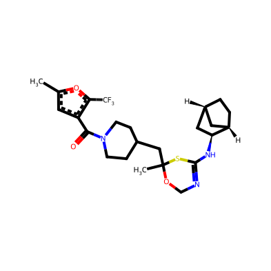 Cc1cc(C(=O)N2CCC(CC3(C)OCN=C(N[C@H]4C[C@@H]5CC[C@H]4C5)S3)CC2)c(C(F)(F)F)o1